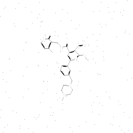 Cc1cc[nH]c(=O)c1CNC(=O)c1cc(-c2cccc(CN3CCN(C)CC3)c2)nc(NC(C)C)c1C=N